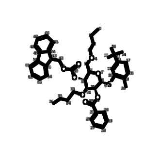 CCCCOCC1O[C@@H](Sc2cc(C(C)(C)C)ccc2C)[C@@H](OC(=O)c2ccccc2)C(OCCCC)[C@@H]1OC(=O)OCC1c2ccccc2-c2ccccc21